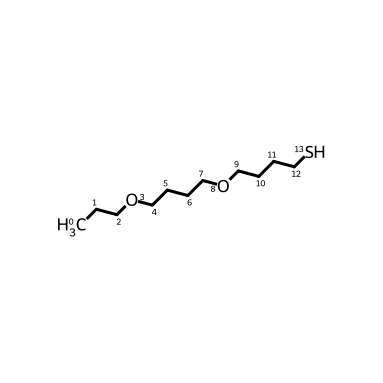 CCCOCCCCOCCCCS